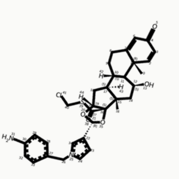 C[C@]12C=CC(=O)C=C1CC[C@@H]1C2[C@@H](O)C[C@@]2(C)[C@H]1C[C@H]1O[C@@H](c3ccn(Cc4ccc(N)cc4)c3)O[C@]12C(=O)SCCl